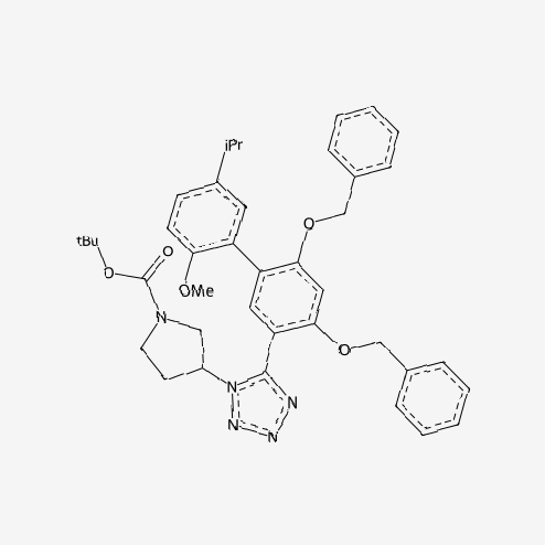 COc1ccc(C(C)C)cc1-c1cc(-c2nnnn2C2CCN(C(=O)OC(C)(C)C)C2)c(OCc2ccccc2)cc1OCc1ccccc1